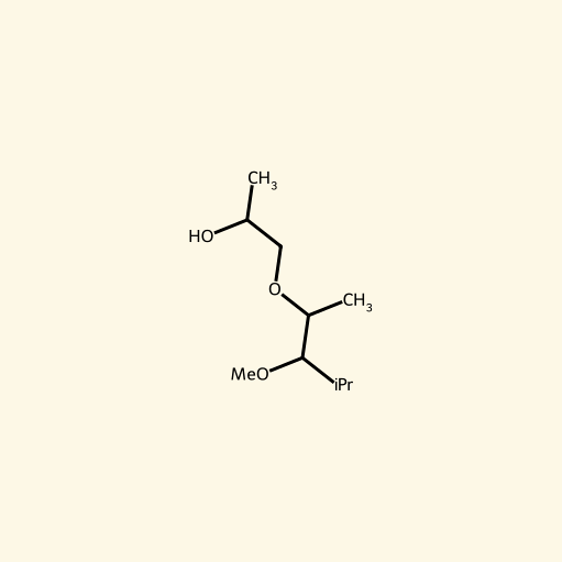 COC(C(C)C)C(C)OCC(C)O